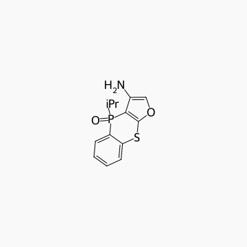 CC(C)P1(=O)c2ccccc2Sc2occ(N)c21